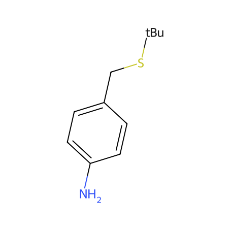 CC(C)(C)SCc1ccc(N)cc1